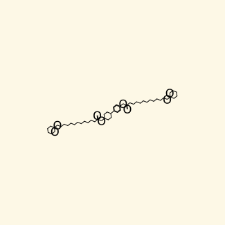 O=C(CCCCCCCCCCCOC1CCCCO1)Oc1ccc(C2CCC(OC(=O)CCCCCCCCCCCOC3CCCCO3)CC2)cc1